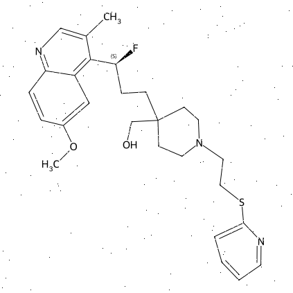 COc1ccc2ncc(C)c([C@@H](F)CCC3(CO)CCN(CCSc4ccccn4)CC3)c2c1